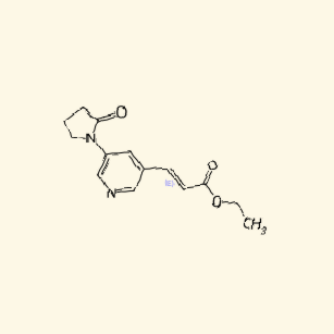 CCOC(=O)/C=C/c1cncc(N2CCCC2=O)c1